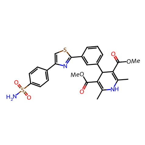 COC(=O)C1=C(C)NC(C)=C(C(=O)OC)C1c1cccc(-c2nc(-c3ccc(S(N)(=O)=O)cc3)cs2)c1